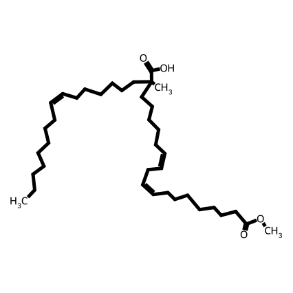 CCCCCCCC/C=C\CCCCCCC(C)(CCCCC/C=C\C/C=C\CCCCCCCC(=O)OC)C(=O)O